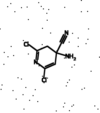 N#CC1(N)C=C(Cl)N=C(Cl)C1